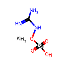 N=C(N)NO[Se](=O)(=O)O.[AlH3]